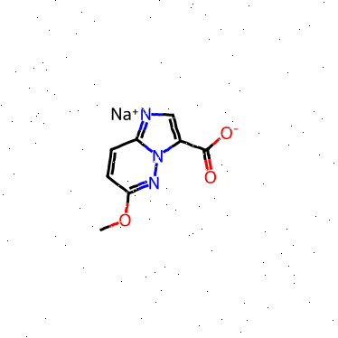 COc1ccc2ncc(C(=O)[O-])n2n1.[Na+]